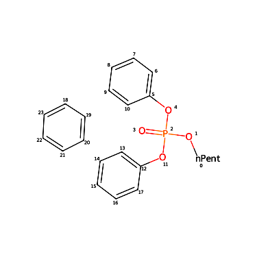 CCCCCOP(=O)(Oc1ccccc1)Oc1ccccc1.c1ccccc1